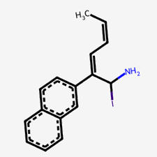 C/C=C\C=C(\c1ccc2ccccc2c1)C(N)I